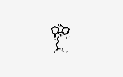 CCCOC(=O)CCCNC1(c2ccccc2Cl)CCCCC1=O.Cl